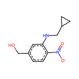 O=[N+]([O-])c1ccc(CO)cc1NCC1CC1